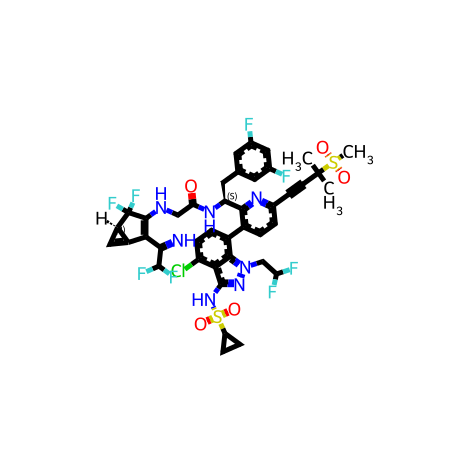 CC(C)(C#Cc1ccc(-c2ccc(Cl)c3c(NS(=O)(=O)C4CC4)nn(CC(F)F)c23)c([C@H](Cc2cc(F)cc(F)c2)NC(=O)CNC2=C(C(=N)C(F)F)C3=C[C@H]3C2(F)F)n1)S(C)(=O)=O